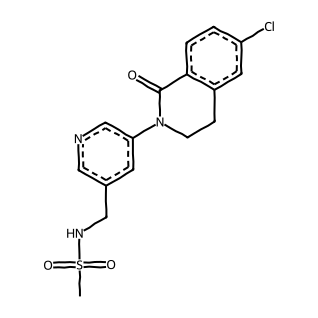 CS(=O)(=O)NCc1cncc(N2CCc3cc(Cl)ccc3C2=O)c1